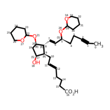 CC#CCC[C@@H](C=C[C@@H]1[C@@H](CC=CCCCC(=O)O)[C@@H](O)C[C@H]1OC1CCCCO1)OC1CCCCO1